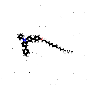 COCCCCCCCCCCCCOc1ccc(-c2ccc3c(c2)c2cc(-c4ccc(C)cc4)ccc2n3-c2ccccc2)cc1